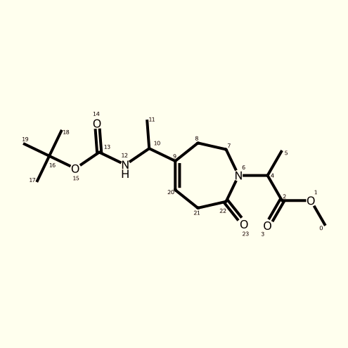 COC(=O)C(C)N1CCC(C(C)NC(=O)OC(C)(C)C)=CCC1=O